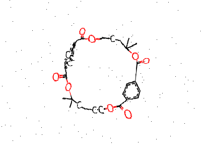 CC1(C)CCCCOC(=O)c2ccc(cc2)C(=O)OC(C)(C)CCCOC(=O)c2ccc(cc2)C(=O)O1